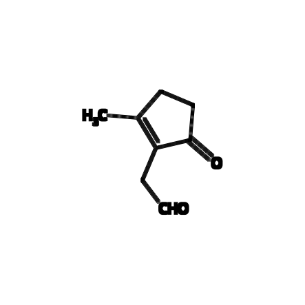 CC1=C(CC=O)C(=O)CC1